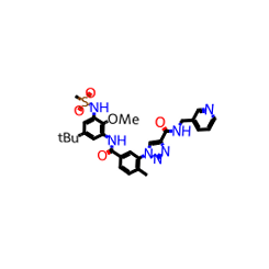 COc1c(NC(=O)c2ccc(C)c(-n3cc(C(=O)NCc4cccnc4)nn3)c2)cc(C(C)(C)C)cc1NS(C)(=O)=O